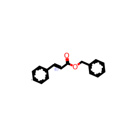 O=C(/C=C/c1cc[c]cc1)OCc1ccccc1